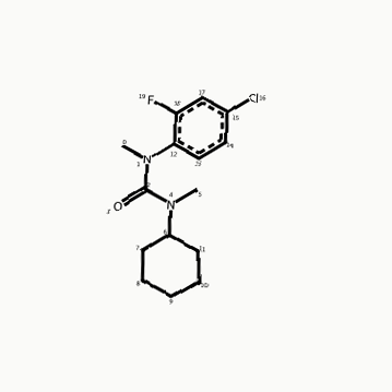 CN(C(=O)N(C)C1CCCCC1)c1ccc(Cl)cc1F